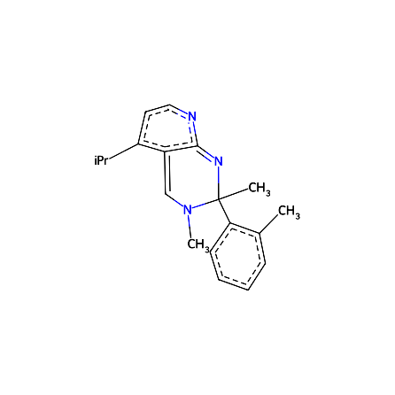 Cc1ccccc1C1(C)N=c2nccc(C(C)C)c2=CN1C